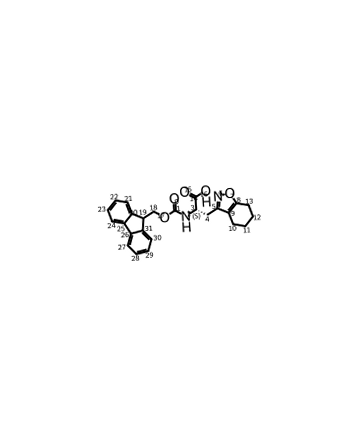 O=C(N[C@@H](Cc1noc2c1CCCC2)C(=O)O)OCC1c2ccccc2-c2ccccc21